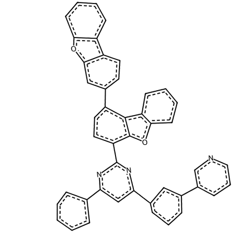 c1ccc(-c2cc(-c3cccc(-c4cccnc4)c3)nc(-c3ccc(-c4ccc5c(c4)oc4ccccc45)c4c3oc3ccccc34)n2)cc1